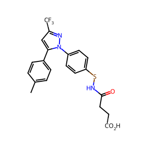 Cc1ccc(-c2cc(C(F)(F)F)nn2-c2ccc(SNC(=O)CCC(=O)O)cc2)cc1